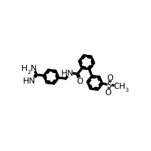 CS(=O)(=O)c1cccc(-c2ccccc2C(=O)NCc2ccc(C(=N)N)cc2)c1